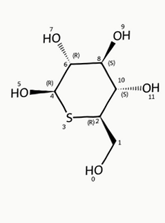 OC[C@H]1S[C@@H](O)[C@H](O)[C@@H](O)[C@@H]1O